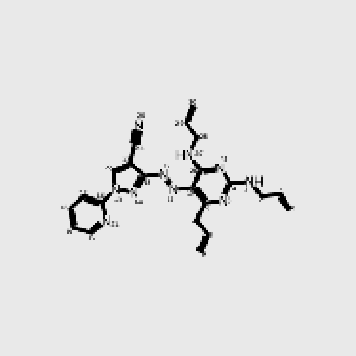 C=CCNc1nc(CC=C)c(N=Nc2nn(-c3ccccn3)cc2C#N)c(NCC=C)n1